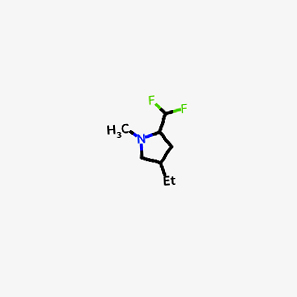 CCC1CC(C(F)F)N(C)C1